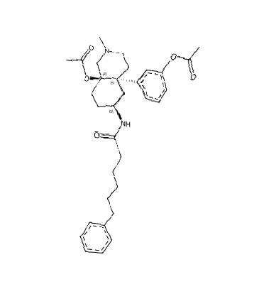 CC(=O)Oc1cccc([C@@]23CCN(C)C[C@@]2(OC(C)=O)CC[C@H](NC(=O)CCCCCc2ccccc2)C3)c1